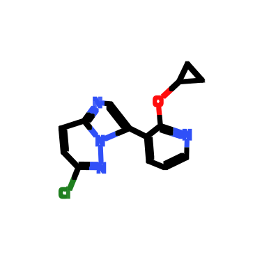 Clc1ccc2ncc(-c3cccnc3OC3CC3)n2n1